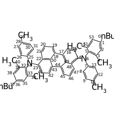 CCCCc1cc(C)c(N(c2ccc(C)cc2)c2ccc3c4cccc5c(N(c6ccc(C)cc6)c6c(C)cc(CCCC)cc6C)ccc(c6cccc2c63)c54)c(C)c1